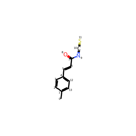 Cc1ccc(C=CC(=O)N=C=S)cc1